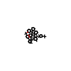 Cc1cc2c3c(c1)N(c1ccccc1-c1ccc(C(C)(C)C)cc1)c1cccc4c1B3c1c(cccc1[Si]4(c1ccccc1)c1ccccc1)N2c1ccc(C(C)(C)C)cc1